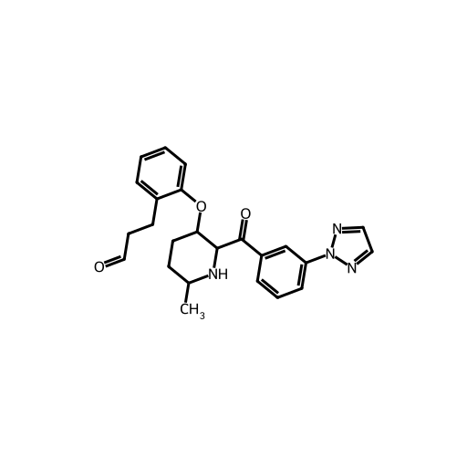 CC1CCC(Oc2ccccc2CCC=O)C(C(=O)c2cccc(-n3nccn3)c2)N1